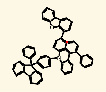 c1ccc(-c2ccccc2-c2ccccc2N(c2ccc(-c3cccc4c3oc3ccccc34)cc2)c2ccc(C3(c4ccccc4)c4ccccc4-c4ccccc43)cc2)cc1